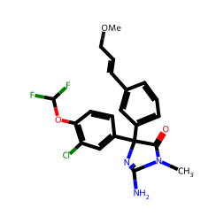 COC/C=C/c1cccc(C2(c3ccc(OC(F)F)c(Cl)c3)N=C(N)N(C)C2=O)c1